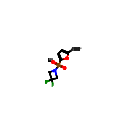 O=C([O-])c1ccc(S(=O)(=O)N2CC(F)(F)C2)o1.[Li+]